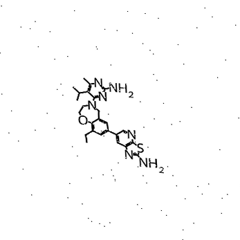 CCc1cc(-c2cnc3sc(N)nc3c2)cc2c1OCCN(c1nc(N)nc(C)c1C(C)C)C2